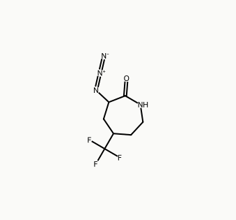 [N-]=[N+]=NC1CC(C(F)(F)F)CCNC1=O